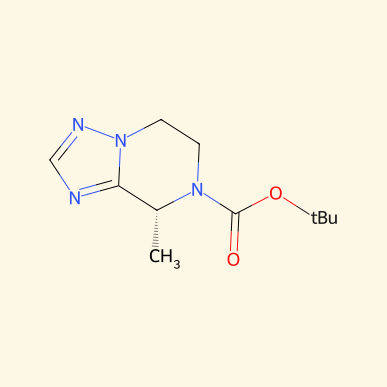 C[C@@H]1c2ncnn2CCN1C(=O)OC(C)(C)C